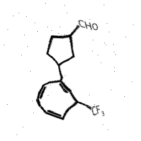 O=CC1CCC(C2=CC(C(F)(F)F)C=CC=C2)C1